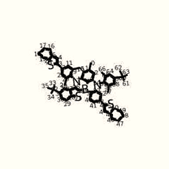 Cc1cc2c3c(c1)N(c1c(C)cc(-c4cc5ccccc5s4)cc1C)c1c(sc4ccc(C(C)(C)C)cc14)B3c1ccc(-c3cc4ccccc4s3)cc1N2c1c(C)cc(C(C)(C)C)cc1C